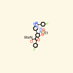 CCS(=O)(=O)Nc1cc2oc(-c3ccc(F)cc3)c(C(=O)NC)c2cc1-c1ccc2nnc(-c3ccc(F)cc3)n2c1